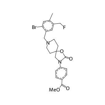 COC(=O)c1ccc(N2CC3(CCN(Cc4cc(CF)c(C)cc4Br)CC3)OC2=O)cc1